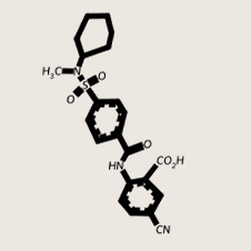 CN(C1CCCCC1)S(=O)(=O)c1ccc(C(=O)Nc2ccc(C#N)cc2C(=O)O)cc1